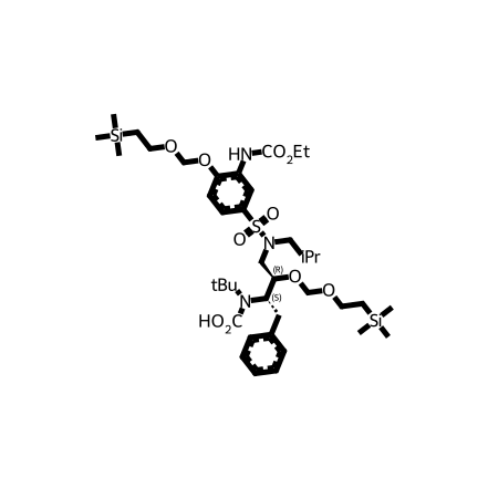 CCOC(=O)Nc1cc(S(=O)(=O)N(CC(C)C)C[C@@H](OCOCC[Si](C)(C)C)[C@H](Cc2ccccc2)N(C(=O)O)C(C)(C)C)ccc1OCOCC[Si](C)(C)C